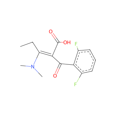 CCC(=C(C(=O)O)C(=O)c1c(F)cccc1F)N(C)C